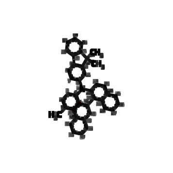 Cc1ccc(N(c2ccc3c(c2)C(C)(C)c2ccccc2-3)c2ccc3ccccc3c2-c2ccc3ccccc3c2)cc1